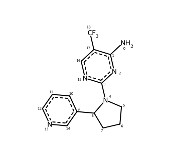 Nc1nc(N2CCCC2c2cccnc2)ncc1C(F)(F)F